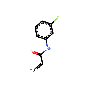 C=CC(=O)Nc1cccc(F)c1